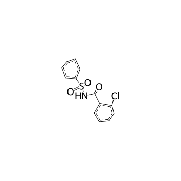 O=C(NS(=O)(=O)c1ccccc1)c1ccccc1Cl